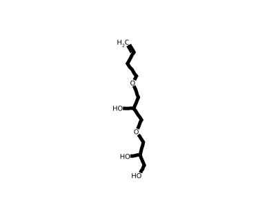 C=CCCOCC(O)COCC(O)CO